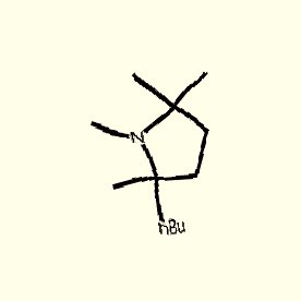 CCCCC1(C)CCC(C)(C)N1C